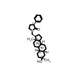 C[C@@]1(O)CC[C@H]2[C@H](CC[C@@H]3[C@@H]2CC[C@]2(C)[C@@H](CN4CC[C@@H](c5ccccc5)C4=O)CC[C@@H]32)C1